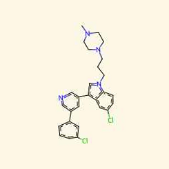 CN1CCN(CCCn2cc(-c3cncc(-c4cccc(Cl)c4)c3)c3cc(Cl)ccc32)CC1